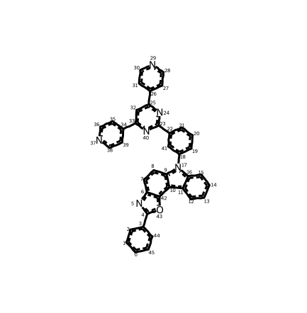 c1ccc(-c2nc3ccc4c(c5ccccc5n4-c4cccc(-c5nc(-c6ccncc6)cc(-c6ccncc6)n5)c4)c3o2)cc1